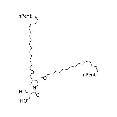 CCCCC/C=C\C/C=C\CCCCCCCCCCOCC1CN(C(=O)[C@@H](N)CO)C[C@H]1COCCCCCCCCCC/C=C\C/C=C\CCCCC